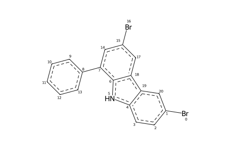 Brc1ccc2[nH]c3c(-c4ccccc4)cc(Br)cc3c2c1